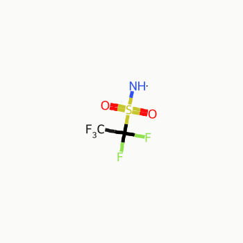 [NH]S(=O)(=O)C(F)(F)C(F)(F)F